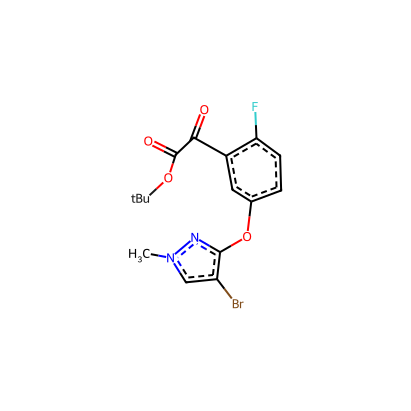 Cn1cc(Br)c(Oc2ccc(F)c(C(=O)C(=O)OC(C)(C)C)c2)n1